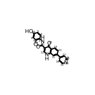 O=C(Nc1ccc(O)cc1Cl)c1c[nH]c2cc(-c3ccnnc3)ccc2c1=O